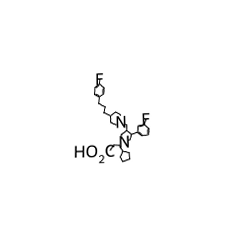 O=C(O)CC(C1CCCC1)N1CC(CN2CCC(CCCc3ccc(F)cc3)CC2)C(c2cccc(F)c2)C1